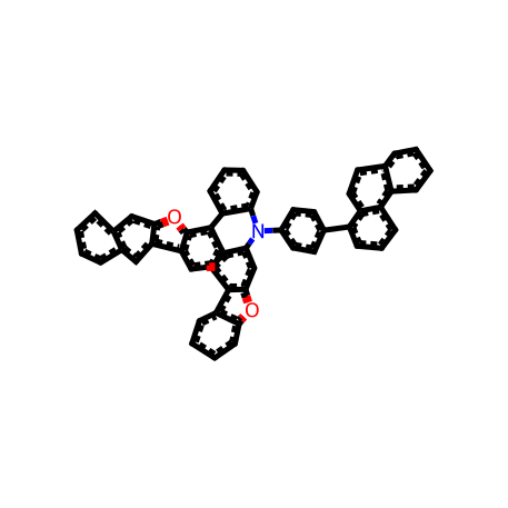 c1ccc(N(c2ccc(-c3cccc4c3ccc3ccccc34)cc2)c2ccc3c(c2)oc2ccccc23)c(-c2cccc3c2oc2cc4ccccc4cc23)c1